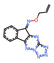 C=CCON=C1c2ccccc2-c2nn3nnnc3nc21